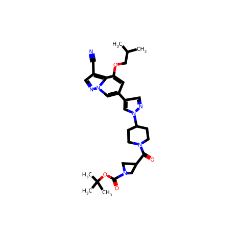 CC(C)COc1cc(-c2cnn(C3CCN(C(=O)C4CN(C(=O)OC(C)(C)C)C4)CC3)c2)cn2ncc(C#N)c12